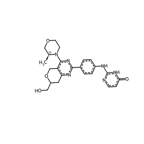 C[C@H]1COCCN1c1nc(-c2ccc(Nc3nccc(=O)[nH]3)cc2)nc2c1COC(CO)C2